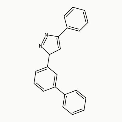 C1=C(c2ccccc2)N=NC1c1cccc(-c2ccccc2)c1